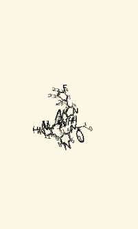 CCC(=O)Nc1cncc(-c2c[nH]nc2-c2nc3c(-c4cccc(F)c4)cncc3[nH]2)c1